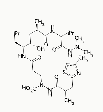 Cc1csc(CC(C)C(=O)NN(CCC(=O)N[C@@H](CC(C)C)[C@@H](O)C[C@@H](C)C(=O)NC(C(=O)NN(C)C)C(C)C)C(=O)O)n1